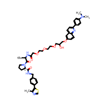 Cc1ncsc1-c1ccc(CNC(=O)[C@@H]2CCCN2C(=O)C(NC(=O)COCCOCCOCC(O)COc2ccc3nc(-c4ccc(N(C)C)cc4)ccc3c2)C(C)(C)C)cc1